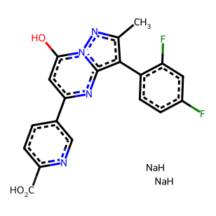 Cc1nn2c(O)cc(-c3ccc(C(=O)O)nc3)nc2c1-c1ccc(F)cc1F.[NaH].[NaH]